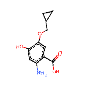 Nc1cc(O)c(OCC2CC2)cc1C(=O)O